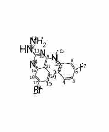 CN(c1cccc(F)c1)c1nc(NN)nc2cc(Br)ccc12